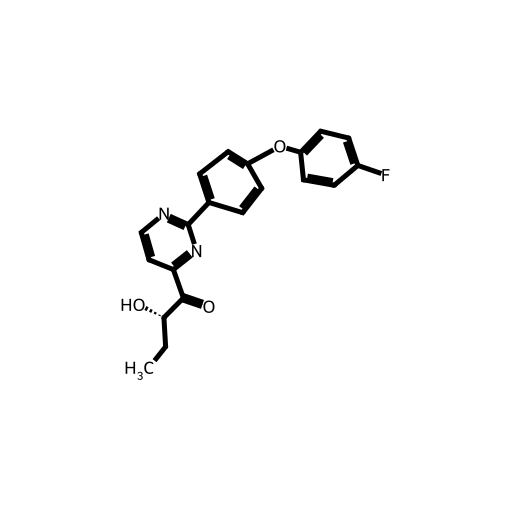 CC[C@H](O)C(=O)c1ccnc(-c2ccc(Oc3ccc(F)cc3)cc2)n1